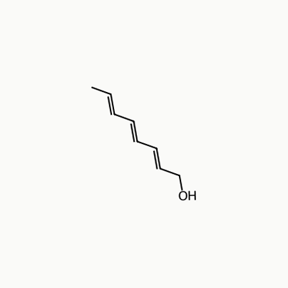 CC=CC=CC=CCO